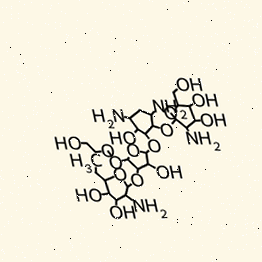 CCC1OC(OC2C(OOCCO)OC(OC3C(O)C(N)CC(N)C3OC3OC(CO)C(O)C(O)C3N)C2O)C(N)C(O)C1O